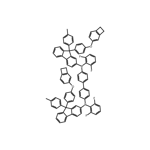 Cc1ccc(C2(c3ccc(Oc4ccc5c(c4)CC5)cc3)c3ccccc3-c3ccc(N(c4ccc(-c5ccc(N(c6ccc7c(c6)C(c6ccc(C)cc6)(c6ccc(Oc8ccc9c(c8)CC9)cc6)c6ccccc6-7)c6c(F)cccc6F)cc5)cc4)c4c(F)cccc4F)cc32)cc1